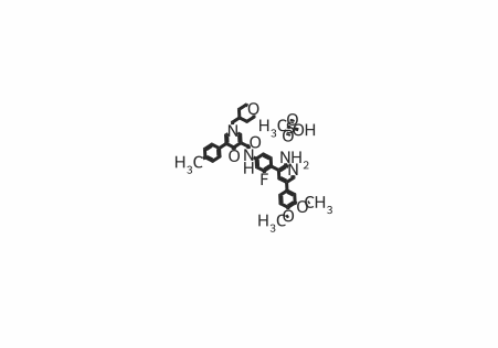 COc1ccc(-c2cnc(N)c(-c3ccc(NC(=O)c4cn(CC5CCOCC5)cc(-c5ccc(C)cc5)c4=O)cc3F)c2)cc1OC.CS(=O)(=O)O